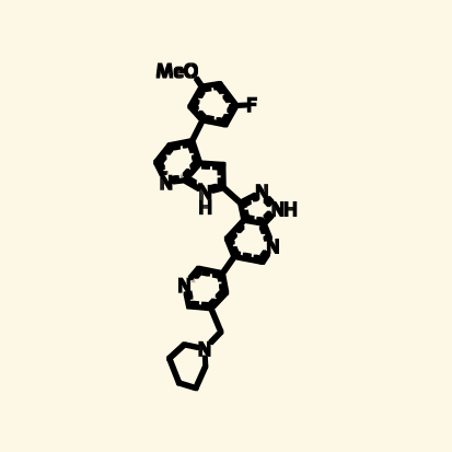 COc1cc(F)cc(-c2ccnc3[nH]c(-c4n[nH]c5ncc(-c6cncc(CN7CCCCC7)c6)cc45)cc23)c1